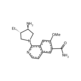 CC[C@H]1CN(c2nccc3cc(C(N)=O)c(OC)cc23)C[C@@H]1N